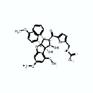 COc1ccc([C@@]23Oc4cc(OC)cc(OC)c4[C@]2(O)[C@H](O)[C@H](C(=O)c2ccc(CNC(C)=O)o2)[C@H]3c2ccccc2)cc1